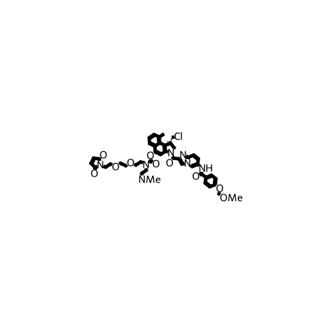 CNCCN(CCOCCOCCN1C(=O)C=CC1=O)C(=O)Oc1cc2c(c3c(C)cccc13)[C@H](CCl)CN2C(=O)c1cn2cc(NC(=O)c3ccc(OCOC)cc3)ccc2n1